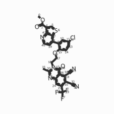 COC(=O)c1csc2c(-c3cc(Cl)ccc3OCCn3c(C)nc4cc(C(F)(F)F)c(C#N)c(C#N)c4c3=O)ccnc12